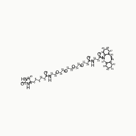 C[C@@H]1NC(=O)N[C@@H]1CCCCCC(=O)NCCOCCOCCOCCOCCC(=O)NCCC(=O)N1Cc2ccccc2C#Cc2ccccc21